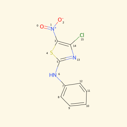 O=[N+]([O-])c1sc(Nc2ccccc2)nc1Cl